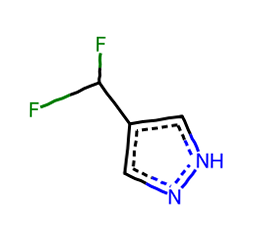 FC(F)c1cn[nH]c1